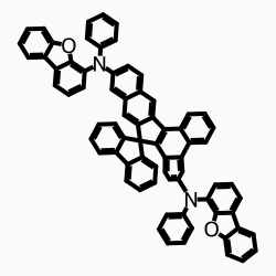 c1ccc(N(c2ccc3cc4c(cc3c2)C2(c3ccccc3-c3ccccc32)c2c-4c3ccccc3c3cc(N(c4ccccc4)c4cccc5c4oc4ccccc45)ccc23)c2cccc3c2oc2ccccc23)cc1